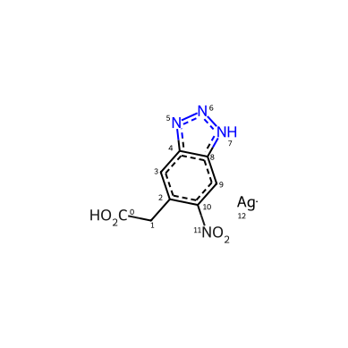 O=C(O)Cc1cc2nn[nH]c2cc1[N+](=O)[O-].[Ag]